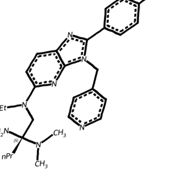 CCC[C@@](N)(CN(CC)c1ccc2nc(-c3ccc(C)cc3)n(Cc3ccncc3)c2n1)N(C)C